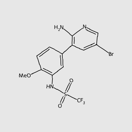 COc1ccc(-c2cc(Br)cnc2N)cc1NS(=O)(=O)C(F)(F)F